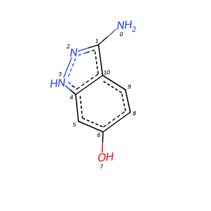 Nc1n[nH]c2cc(O)ccc12